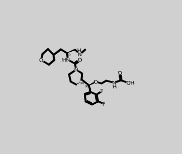 CNC[C@H](CC1CCOCC1)NC(=O)N1CCC[C@@H]([C@@H](OCCNC(=O)O)c2cccc(F)c2F)C1